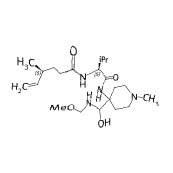 C=C[C@@H](C)CCC(=O)N[C@H](C(=O)NC1(C(O)NCOC)CCN(C)CC1)C(C)C